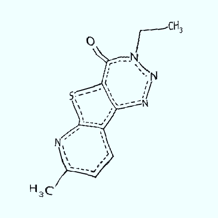 CCn1nnc2c(sc3nc(C)ccc32)c1=O